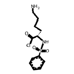 NCCCC[C@H](NS(=O)(=O)c1ccccc1)C(=O)Cl